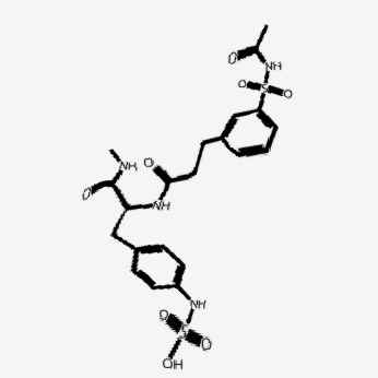 CNC(=O)[C@H](Cc1ccc(NS(=O)(=O)O)cc1)NC(=O)CCc1cccc(S(=O)(=O)NC(C)=O)c1